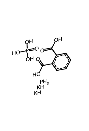 O=C(O)c1ccccc1C(=O)O.O=P(O)(O)O.P.[KH].[KH]